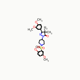 COc1ccc(OC)c(S(=O)(=O)N2CCC(N3N=C(c4ccc(OC)c(OC)c4)C(C)(C)C3=O)CC2)c1